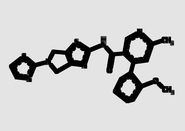 COc1ccccc1-c1cc(C)ncc1C(=O)Nc1nc2c(s1)CN(c1nccs1)C2